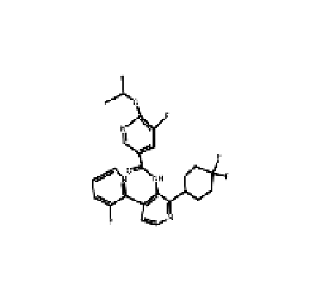 CC(C)Oc1ncc(C(=O)Nc2c(-c3ncccc3F)ccnc2C2CCC(F)(F)CC2)cc1F